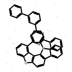 c1ccc(-c2cccc(-c3nc(-c4ccccn4)nc(-c4cccc5oc6ccc7c8ccccc8n(-c8ccccc8)c7c6c45)n3)c2)cc1